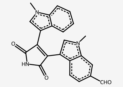 Cn1cc(C2=C(c3cn(C)c4cc(C=O)ccc34)C(=O)NC2=O)c2ccccc21